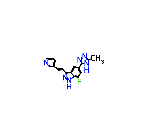 Cc1nnc(-c2cc(F)c3[nH]nc(C=Cc4cccnc4)c3c2)[nH]1